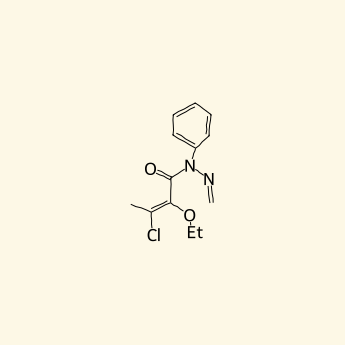 C=NN(C(=O)/C(OCC)=C(\C)Cl)c1ccccc1